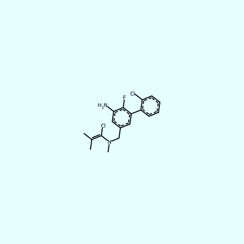 CC(C)=C(Cl)N(C)Cc1cc(N)c(F)c(-c2ccccc2Cl)c1